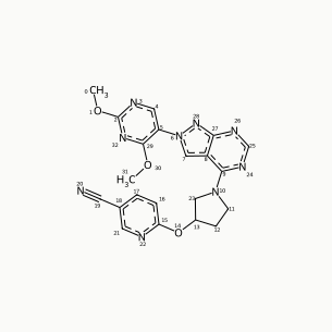 COc1ncc(-n2cc3c(N4CCC(Oc5ccc(C#N)cn5)C4)ncnc3n2)c(OC)n1